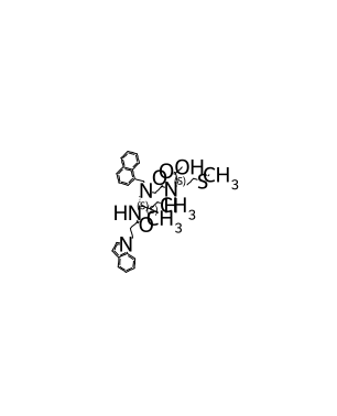 CC[C@H](C)[C@@H](CN(CC(=O)N[C@@H](CCSC)C(=O)O)Cc1cccc2ccccc12)NC(=O)CCn1ccc2ccccc21